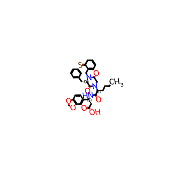 CCCC[C@@H](C(=O)N[C@@H](CC(=O)O)c1ccc2c(c1)OCO2)N1CC(=O)N(CC2=CC=CCC2=S)[C@@H](Cc2ccccc2)C1=O